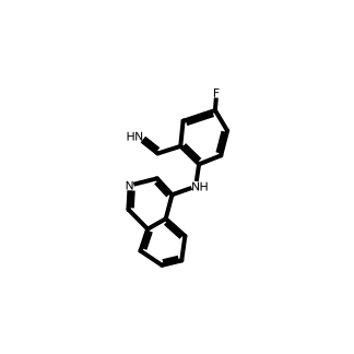 N=Cc1cc(F)ccc1Nc1cncc2ccccc12